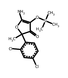 CC1(c2ccc(Cl)cc2Cl)OC(N)=C(O[Si](C)(C)C)C1=O